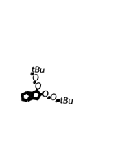 CC(C)(C)COCOC1CC2C3CCC(C3)C2C1OCOCC(C)(C)C